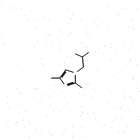 CC(O)Cn1cc([N+](=O)[O-])nc1Br